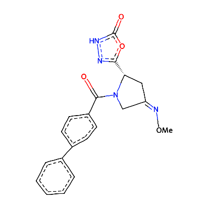 CON=C1C[C@@H](c2n[nH]c(=O)o2)N(C(=O)c2ccc(-c3ccccc3)cc2)C1